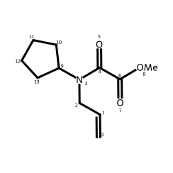 C=CCN(C(=O)C(=O)OC)C1CCCC1